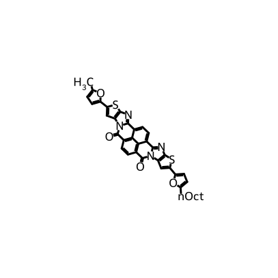 CCCCCCCCc1ccc(-c2cc3c(nc4c5ccc6c7c(ccc(c(=O)n34)c57)c(=O)n3c4cc(-c5ccc(C)o5)sc4nc63)s2)o1